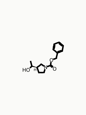 CC(O)[C@@H]1CCN(C(=O)OCc2ccccc2)C1